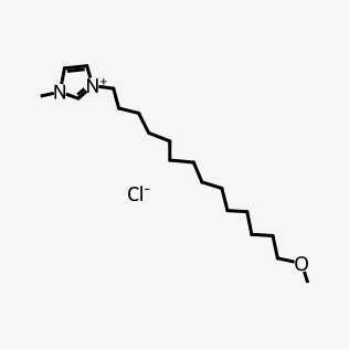 COCCCCCCCCCCCCCC[n+]1ccn(C)c1.[Cl-]